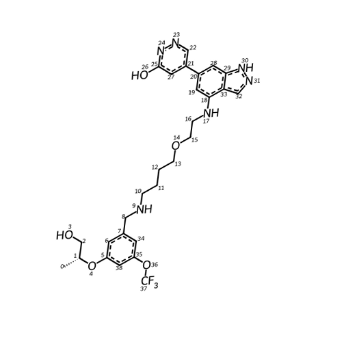 C[C@H](CO)Oc1cc(CNCCCCOCCNc2cc(-c3cnnc(O)c3)cc3[nH]ncc23)cc(OC(F)(F)F)c1